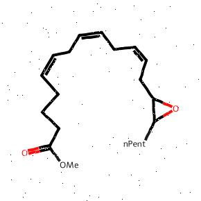 CCCCCC1OC1C/C=C\C/C=C\C/C=C\CCCC(=O)OC